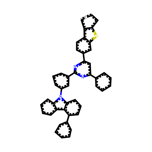 c1ccc(-c2cc(-c3ccc4c(c3)sc3ccccc34)nc(-c3cccc(-n4c5ccccc5c5c(-c6ccccc6)cccc54)c3)n2)cc1